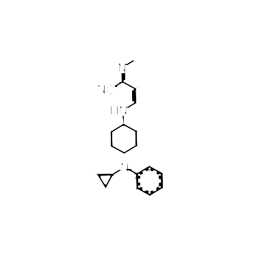 C/N=C(C#N)\C=C/N[C@H]1CC[C@H](N(c2ccccc2)C2CC2)CC1